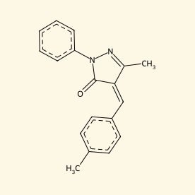 CC1=NN(c2ccccc2)C(=O)/C1=C\c1ccc(C)cc1